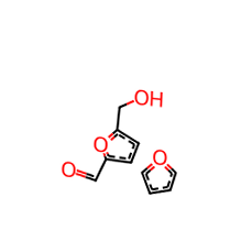 O=Cc1ccc(CO)o1.c1ccoc1